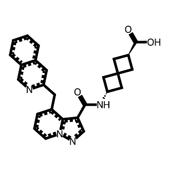 O=C(N[C@H]1CC2(C1)C[C@H](C(=O)O)C2)c1cnn2cccc(Cc3cc4ccccc4cn3)c12